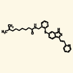 C=C(C)CCCCCCC(=O)NCc1ccccc1Sc1ccc2c(/C=C/c3ccccn3)n[nH]c2c1